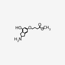 COC(=O)CCCOc1cc(O)c2c(c1)CC(N)C2